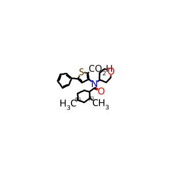 C[C@@H]1CCC(C(=O)N(c2cc(-c3ccccc3)sc2C(=O)O)C2CCOCC2)[C@@H](C)C1